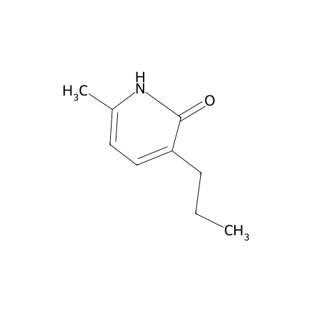 CCCc1ccc(C)[nH]c1=O